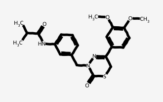 COc1ccc(C2=NN(Cc3cccc(NC(=O)C(C)C)c3)C(=O)SC2)cc1OC